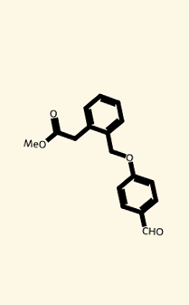 COC(=O)Cc1ccccc1COc1ccc(C=O)cc1